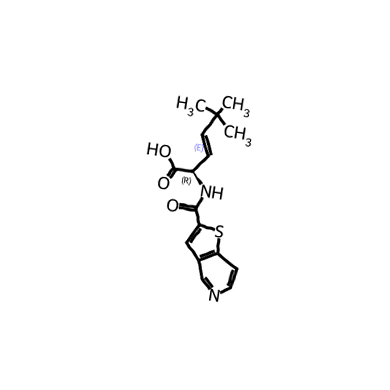 CC(C)(C)/C=C/[C@@H](NC(=O)c1cc2cnccc2s1)C(=O)O